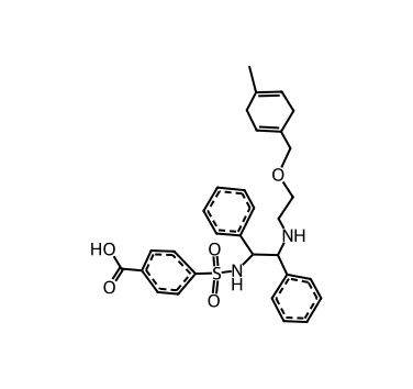 CC1=CCC(COCCNC(c2ccccc2)C(NS(=O)(=O)c2ccc(C(=O)O)cc2)c2ccccc2)=CC1